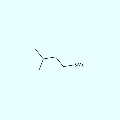 CSCCC(C)C